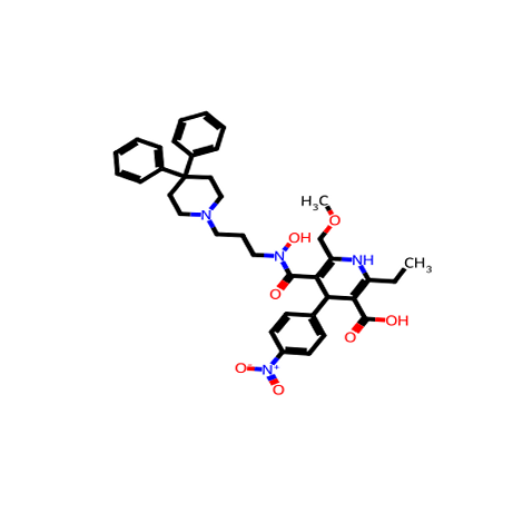 CCC1=C(C(=O)O)C(c2ccc([N+](=O)[O-])cc2)C(C(=O)N(O)CCCN2CCC(c3ccccc3)(c3ccccc3)CC2)=C(COC)N1